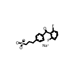 O=C(c1ccc(CCCS(=O)(=O)[O-])cc1)c1c(F)cccc1F.[Na+]